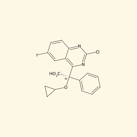 O=C(O)[C@@](OC1CC1)(c1ccccc1)c1nc(Cl)nc2ccc(I)cc12